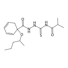 CCCC(C)OC1(C(=O)NNC(=S)NC(=O)C(C)C)C=CC=CC1